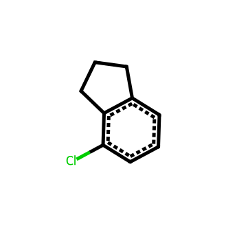 Clc1cccc2c1CCC2